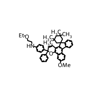 CCOCCNc1ccc(C2(c3ccccc3)C=Cc3c4c(c5ccc(OC)cc5c3O2)-c2ccccc2C42CC(C)(C)CC(C)(C)C2)cc1